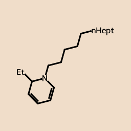 CCCCCCCCCCCCN1C=CC=CC1CC